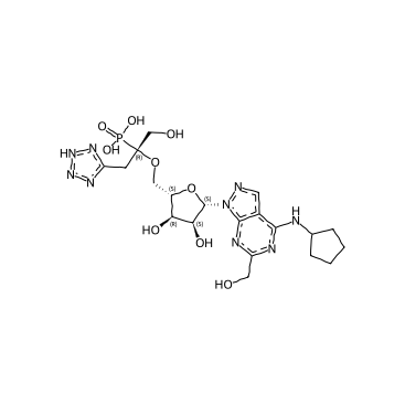 O=P(O)(O)[C@@](CO)(Cc1nn[nH]n1)OC[C@@H]1O[C@H](n2ncc3c(NC4CCCC4)nc(CO)nc32)[C@@H](O)[C@H]1O